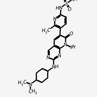 CCCS(=O)(=O)Nc1ccc(-c2cc3cnc(NC4CCC(N(C)C)CC4)nc3n(C(C)C)c2=O)c(C)n1